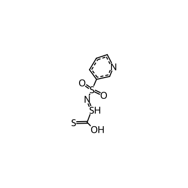 O=S(=O)(N=[SH]C(O)=S)c1cccnc1